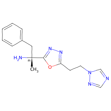 C[C@@](N)(Cc1ccccc1)c1nnc(CCn2cncn2)o1